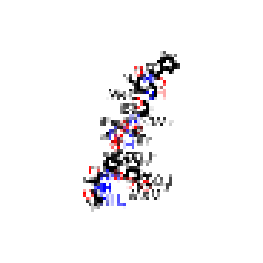 CC[C@H](C)[C@@H]([C@@H](CC(=O)N1CCC[C@H]1[C@H](OC)[C@@H](C)C(=O)N[C@H](C)[C@@H](O)c1ccccc1)OC)N(C)O[C@H](NO[C@@H](C(C)C)N(C)OOCc1ccc(NC(=O)[C@H](C)NC(=O)[C@@H](N)C(C)C)c(O[C@@H]2O[C@H](C(=O)OC)[C@@H](CC(=O)O)[C@H](CC(=O)O)[C@H]2CC(=O)O)c1)C(C)C